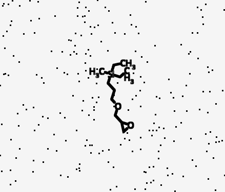 CC[Si](C)(CC)CCCOCC1CO1